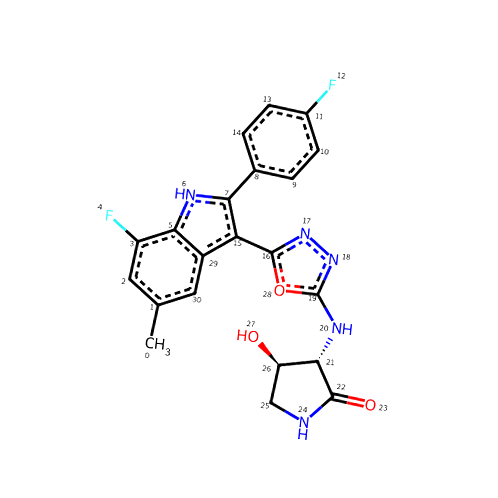 Cc1cc(F)c2[nH]c(-c3ccc(F)cc3)c(-c3nnc(N[C@@H]4C(=O)NC[C@H]4O)o3)c2c1